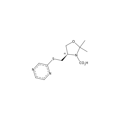 CC1(C)OC[C@H](CSc2cnccn2)N1C(=O)O